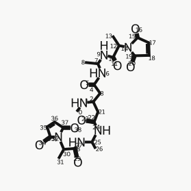 CNC(CC(=O)NC(C)NC(=O)C(C)N1C(=O)C=CC1=O)CC(=O)NC(C)NC(=O)C(C)N1C(=O)C=CC1=O